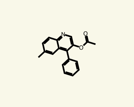 CC(=O)Oc1cnc2ccc(C)cc2c1-c1ccccc1